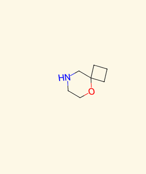 C1CC2(C1)CNCCO2